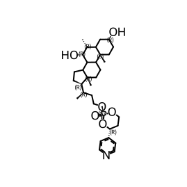 C[C@H](CCO[P@@]1(=O)OCC[C@H](c2ccncc2)O1)[C@H]1CCC2C3C(CC[C@@]21C)[C@@]1(C)CC[C@@H](O)CC1[C@@H](C)[C@H]3O